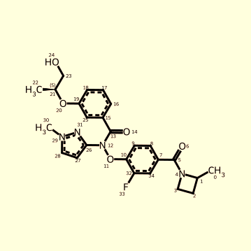 CC1CCN1C(=O)c1ccc(ON(C(=O)c2cccc(O[C@@H](C)CO)c2)c2ccn(C)n2)c(F)c1